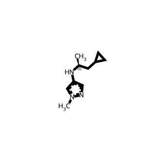 C[C@@H](CC1CC1)Nc1cnn(C)c1